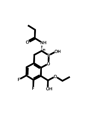 CCOC(O)c1c(F)c(F)cc2c1OB(O)[C@@H](NC(=O)CC)C2